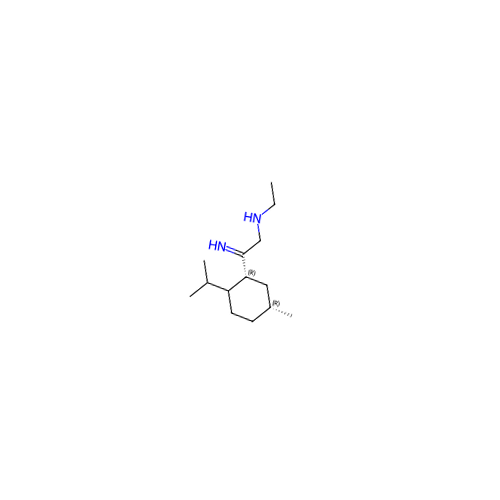 CCNCC(=N)[C@@H]1C[C@H](C)CCC1C(C)C